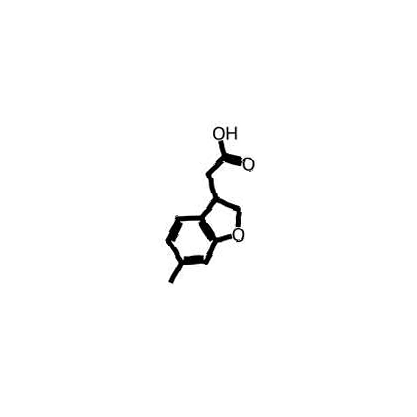 Cc1ccc2c(c1)OCC2CC(=O)O